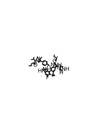 CCCC(=O)C(C(C)C)N1C=C(c2ccc(COc3c(-c4c(C)c(F)cc5[nH]ncc45)c(C4CC4)cc4c(N5C[C@@H]6C[C@H]5CN6)nc(OC[C@H](C)CC)nc34)cc2)C(C)N1C